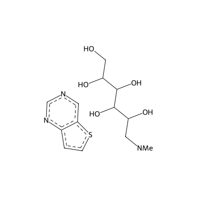 CNCC(O)C(O)C(O)C(O)CO.c1ncc2sccc2n1